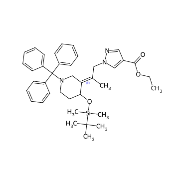 CCOC(=O)c1cnn(C/C(C)=C2\CN(C(c3ccccc3)(c3ccccc3)c3ccccc3)CCC2O[Si](C)(C)C(C)(C)C)c1